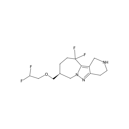 FC(F)COC[C@H]1CCC(F)(F)c2c3c(nn2C1)CCNC3